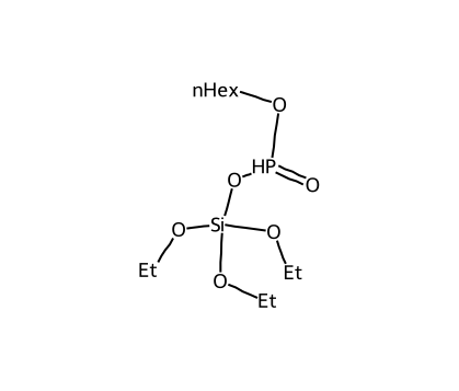 CCCCCCO[PH](=O)O[Si](OCC)(OCC)OCC